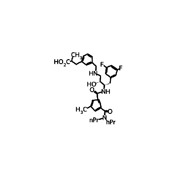 CCCN(CCC)C(=O)c1cc(C)cc(C(=O)N[C@@H](Cc2cc(F)cc(F)c2)[C@H](O)CNCc2cccc(C[C@H](C)C(=O)O)c2)c1